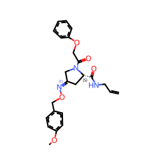 C=CCNC(=O)[C@@H]1C/C(=N\OCc2ccc(OC)cc2)CN1C(=O)COc1ccccc1